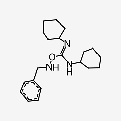 c1ccc(CNO/C(=N\C2CCCCC2)NC2CCCCC2)cc1